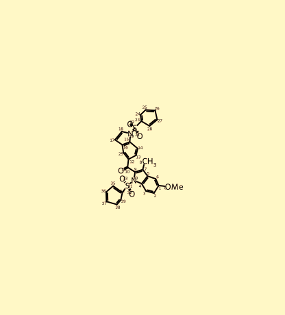 COc1ccc2c(c1)c(C)c(C(=O)c1ccc3c(ccn3S(=O)(=O)c3ccccc3)c1)n2S(=O)(=O)c1ccccc1